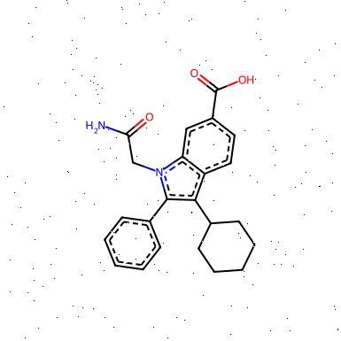 NC(=O)Cn1c(-c2ccccc2)c(C2CCCCC2)c2ccc(C(=O)O)cc21